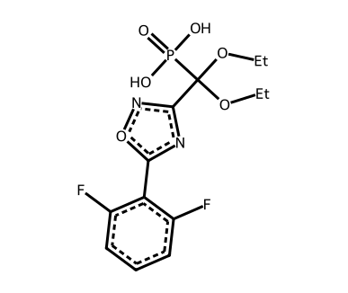 CCOC(OCC)(c1noc(-c2c(F)cccc2F)n1)P(=O)(O)O